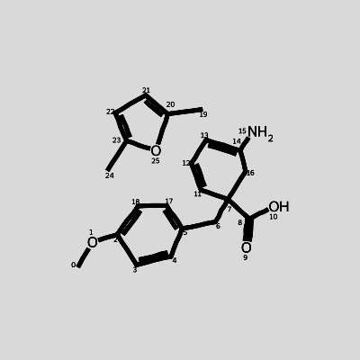 COc1ccc(CC2(C(=O)O)C=CC=C(N)C2)cc1.Cc1ccc(C)o1